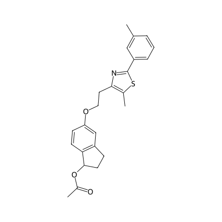 CC(=O)OC1CCc2cc(OCCc3nc(-c4cccc(C)c4)sc3C)ccc21